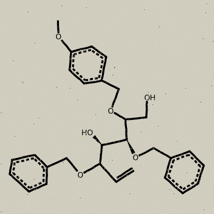 C=CC(OCc1ccccc1)[C@@H](O)[C@H](OCc1ccccc1)C(CO)OCc1ccc(OC)cc1